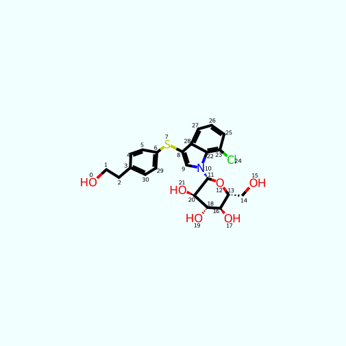 OCCc1ccc(Sc2cn([C@@H]3O[C@H](CO)[C@@H](O)[C@H](O)[C@H]3O)c3c(Cl)cccc23)cc1